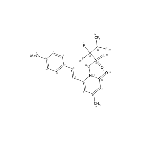 COc1ccc(C=Cc2cc(C)cc(=O)n2OS(=O)(=O)C(F)(F)C(F)C(F)(F)F)cc1